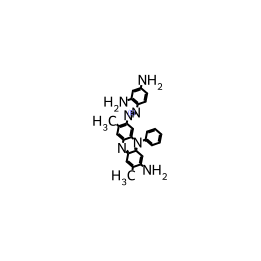 Cc1cc2nc3cc(C)c(/N=N/c4ccc(N)cc4N)cc3[n+](-c3ccccc3)c2cc1N